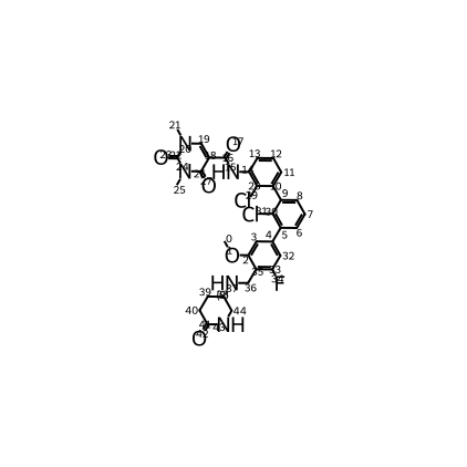 COc1cc(-c2cccc(-c3cccc(NC(=O)c4cn(C)c(=O)n(C)c4=O)c3Cl)c2Cl)cc(F)c1CN[C@H]1CCC(=O)NC1